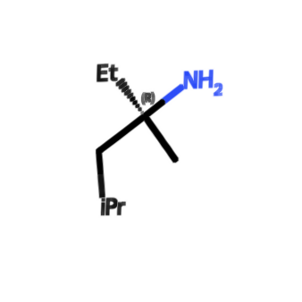 CC[C@@](C)(N)CC(C)C